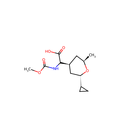 COC(=O)NC(C(=O)O)[C@H]1C[C@@H](C)O[C@H](C2CC2)C1